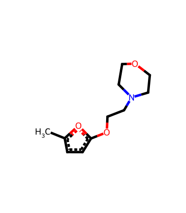 Cc1ccc(OCCN2CCOCC2)o1